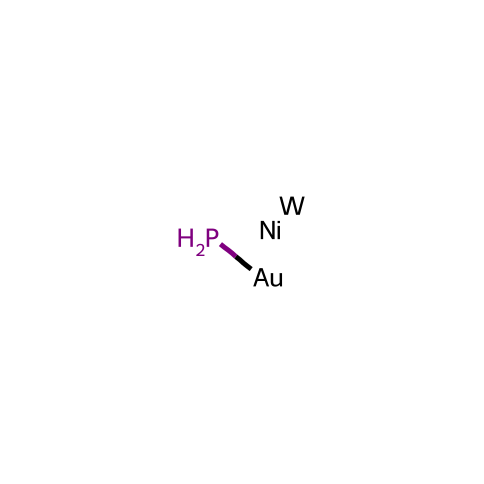 [Ni].[PH2][Au].[W]